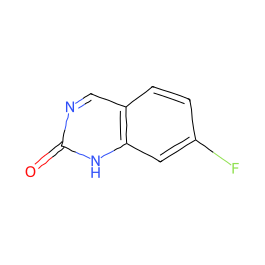 O=c1ncc2ccc(F)cc2[nH]1